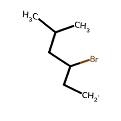 [CH2]CC(Br)CC(C)C